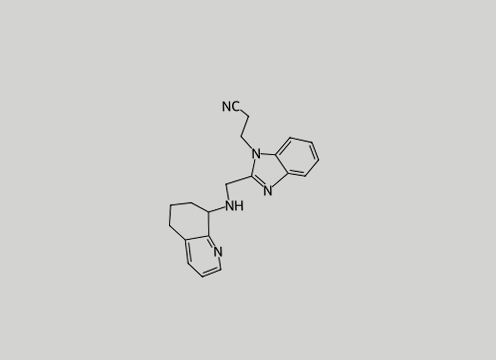 N#CCCn1c(CNC2CCCc3cccnc32)nc2ccccc21